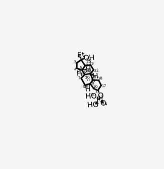 CC[C@@]1(O)CC[C@H]2[C@@H]3CC[C@@H]4C[C@H](OP(=O)(O)O)CC[C@]4(C)[C@H]3CC[C@@]21C